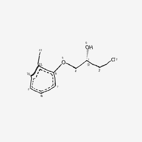 O[C@H](CCl)COc1ccccc1I